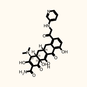 CN(C)[C@@H]1C(O)=C(C(N)=O)C(=O)[C@@]2(O)C(O)=C3C(=O)c4c(O)ccc(C(=O)CNc5cccnc5)c4C[C@H]3C[C@@H]12